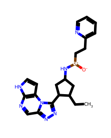 CCC1CC(N[S+]([O-])CCc2ccccn2)CC1c1nnc2cnc3[nH]ccc3n12